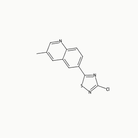 Cc1cnc2ccc(-c3nc(Cl)ns3)cc2c1